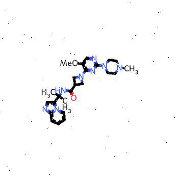 COc1cnc(N2CCN(C)CC2)nc1N1CC(C(=O)NC(C)(C)c2cnc3ccccn23)C1